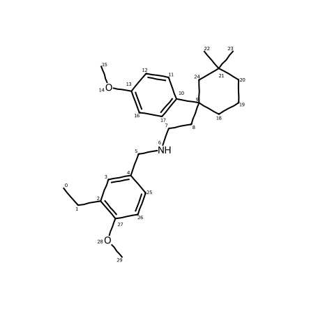 CCc1cc(CNCCC2(c3ccc(OC)cc3)CCCC(C)(C)C2)ccc1OC